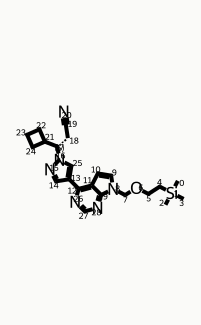 C[Si](C)(C)CCOCn1ccc2c(-c3cnn([C@@H](CC#N)C4CCC4)c3)ncnc21